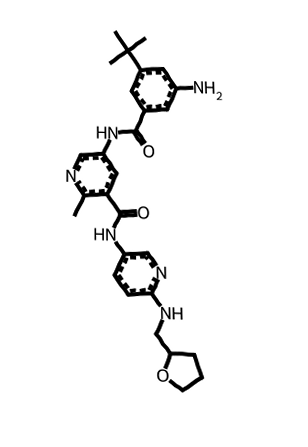 Cc1ncc(NC(=O)c2cc(N)cc(C(C)(C)C)c2)cc1C(=O)Nc1ccc(NCC2CCCO2)nc1